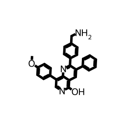 COc1ccc(-c2cnc(O)c3cc(-c4ccccc4)c(-c4ccc(CN)cc4)nc23)cc1